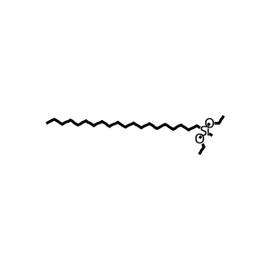 CCCCCCCCCCCCCCCCCCCC[Si](C)(OCC)OCC